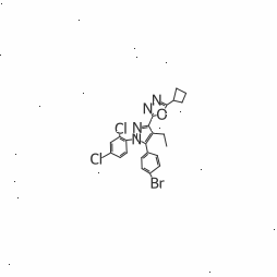 CCc1c(-c2nnc(C3CCC3)o2)nn(-c2ccc(Cl)cc2Cl)c1-c1ccc(Br)cc1